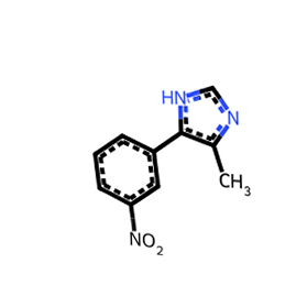 Cc1nc[nH]c1-c1cccc([N+](=O)[O-])c1